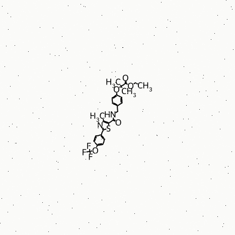 CCOC(=O)C(C)(C)Oc1ccc(CNC(=O)c2sc(-c3ccc(OC(F)(F)F)cc3)nc2C)cc1